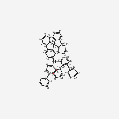 c1ccc(-c2ccc(N(c3ccc4c(c3)C3(c5ccccc5-c5ccccc53)c3ccccc3-4)c3cccc(-c4ccccc4)c3-c3ccccc3)cc2)cc1